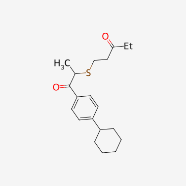 CCC(=O)CCSC(C)C(=O)c1ccc(C2CCCCC2)cc1